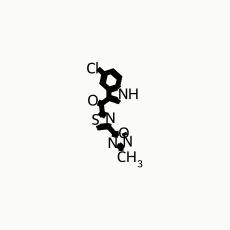 Cc1noc(-c2csc(C(=O)c3c[nH]c4ccc(Cl)cc34)n2)n1